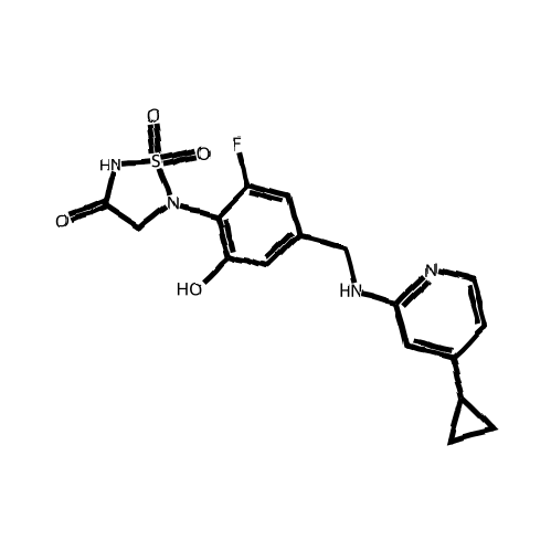 O=C1CN(c2c(O)cc(CNc3cc(C4CC4)ccn3)cc2F)S(=O)(=O)N1